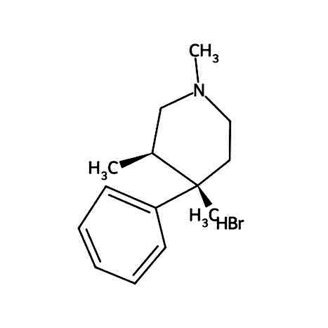 Br.C[C@H]1CN(C)CC[C@]1(C)c1ccccc1